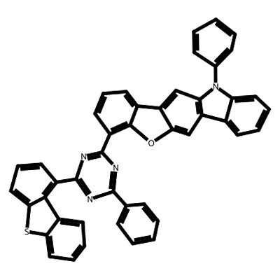 c1ccc(-c2nc(-c3cccc4c3oc3cc5c6ccccc6n(-c6ccccc6)c5cc34)nc(-c3cccc4sc5ccccc5c34)n2)cc1